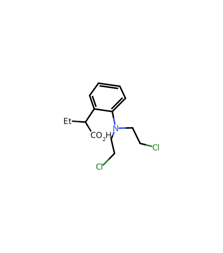 CCC(C(=O)O)c1ccccc1N(CCCl)CCCl